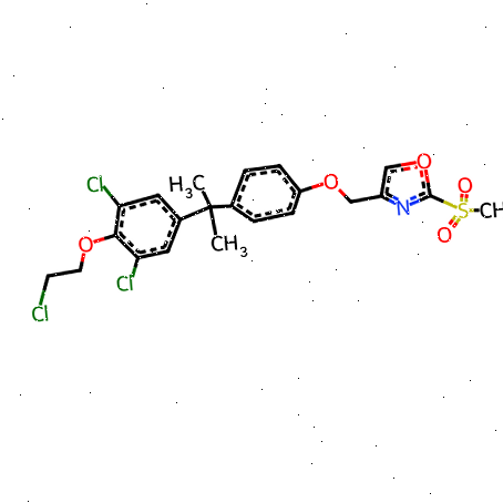 CC(C)(c1ccc(OCc2coc(S(C)(=O)=O)n2)cc1)c1cc(Cl)c(OCCCl)c(Cl)c1